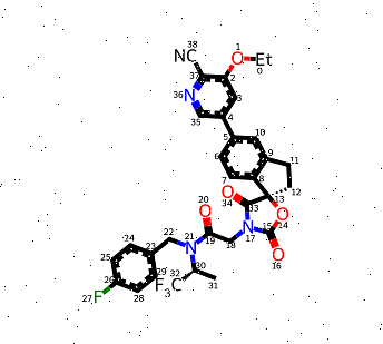 CCOc1cc(-c2ccc3c(c2)CC[C@@]32OC(=O)N(CC(=O)N(Cc3ccc(F)cc3)[C@@H](C)C(F)(F)F)C2=O)cnc1C#N